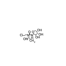 C=CC(N=O)N(CCCl)C(=O)NC1OC[C@H](O)[C@H](O)[C@H]1O